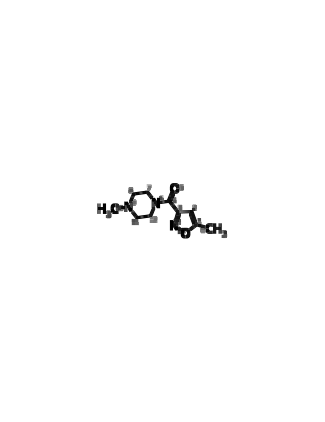 Cc1cc(C(=O)N2CCN(C)CC2)no1